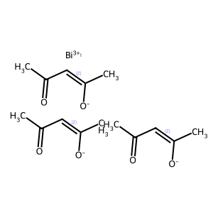 CC(=O)/C=C(/C)[O-].CC(=O)/C=C(/C)[O-].CC(=O)/C=C(/C)[O-].[Bi+3]